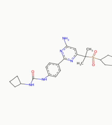 CC(C)(c1cc(N)nc(-c2ccc(NC(=O)NC3CCC3)cc2)n1)S(=O)(=O)C1CCCC1